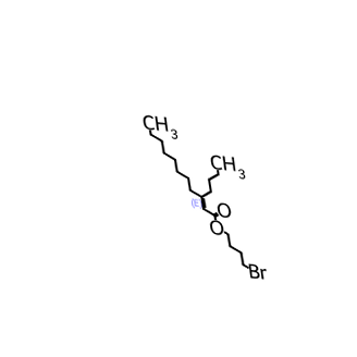 CCCCCCCC/C(=C/C(=O)OCCCCBr)CCCC